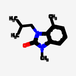 Cc1cccc2c1n(CC(C)C)c(=O)n2C